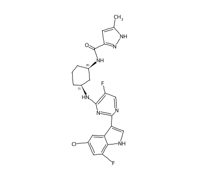 Cc1cc(C(=O)N[C@@H]2CCC[C@H](Nc3nc(-c4c[nH]c5c(F)cc(Cl)cc45)ncc3F)C2)n[nH]1